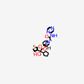 O=C(C[N+]12CCC(CC1)[C@@H](OC(=O)C(O)(c1ccsc1)C1CCCC1)C2)Nc1cnccn1